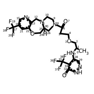 CC(COCCC(=O)N1CCN2Cc3ncc(C(F)(F)F)cc3OC[C@H]2C1)Nc1cn[nH]c(=O)c1C(F)(F)F